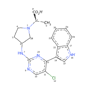 C[C@H](C(=O)O)N1CCC(Nc2ncc(Cl)c(-c3c[nH]c4ccccc34)n2)C1